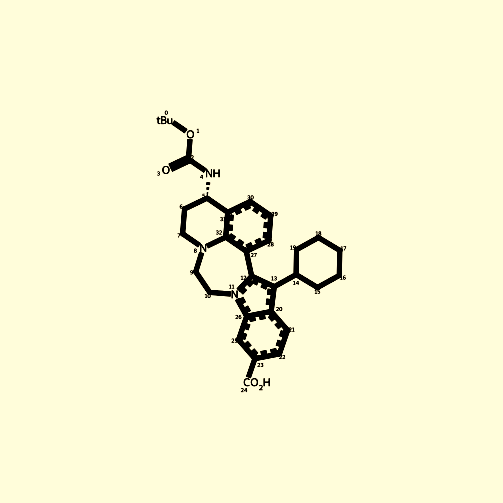 CC(C)(C)OC(=O)N[C@H]1CCN2CCn3c(c(C4CCCCC4)c4ccc(C(=O)O)cc43)-c3cccc1c32